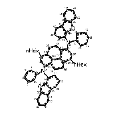 CCCCCCc1cc(N(c2ccccc2)c2cccc3c2oc2ccccc23)c2ccc3c(CCCCCC)cc(N(c4ccccc4)c4cccc5c4oc4ccccc45)c4ccc1c2c34